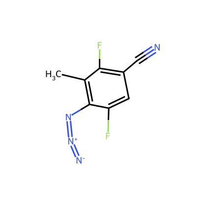 Cc1c(F)c(C#N)cc(F)c1N=[N+]=[N-]